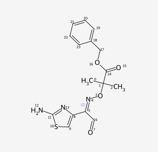 CC(C)(O/N=C(\[C]=O)c1csc(N)n1)C(=O)OCc1ccccc1